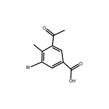 CC(=O)c1cc(C(=O)O)cc(Br)c1C